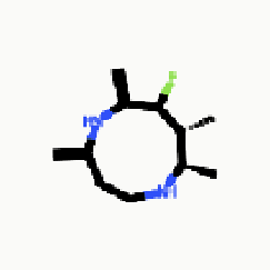 C=C1CCN[C@H](C)[C@@H](C)C(F)C(=C)N1